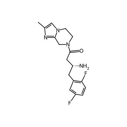 Cc1cn2c(n1)CN(C(=O)C[C@H](N)Cc1cc(F)ccc1F)CC2